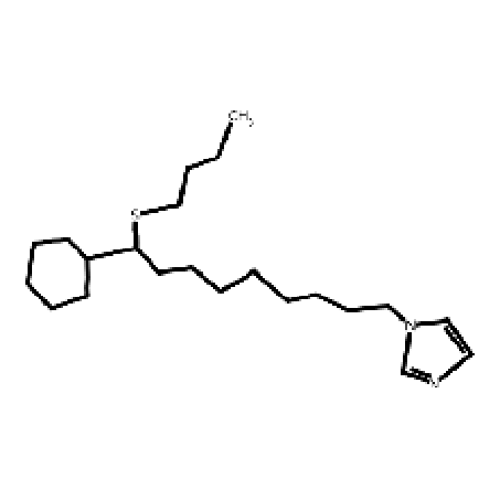 CCCCSC(CCCCCCCCn1ccnc1)C1CCCCC1